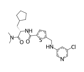 CN(C)C(=O)[C@H](CC1CCCC1)NC(=O)c1ccc(CNc2cncc(Cl)c2)s1